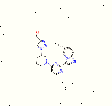 OCc1cn(C2CCCN(c3ccnc(-c4cnc5ccc(C(F)(F)F)cn45)n3)C2)nn1